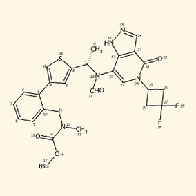 C[C@@H](c1cc(-c2ccccc2CN(C)C(=O)OC(C)(C)C)cs1)N(C=O)c1cn(C2CC(F)(F)C2)c(=O)c2cn[nH]c12